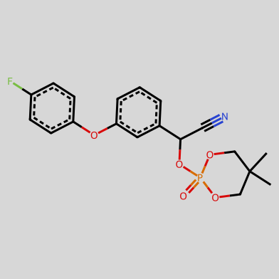 CC1(C)COP(=O)(OC(C#N)c2cccc(Oc3ccc(F)cc3)c2)OC1